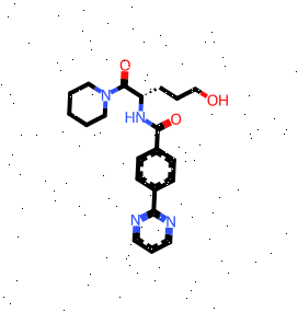 O=C(N[C@@H](CCCO)C(=O)N1CCCCC1)c1ccc(-c2ncccn2)cc1